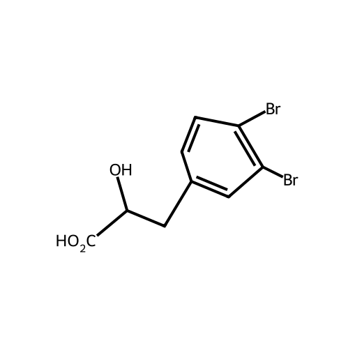 O=C(O)C(O)Cc1ccc(Br)c(Br)c1